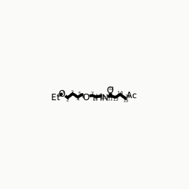 CCOCCCCOCCCNC(=O)CCCC(C)=O